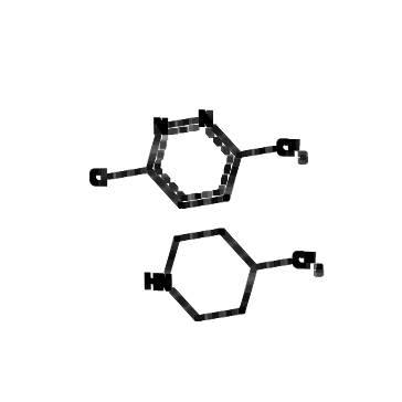 FC(F)(F)C1CCNCC1.FC(F)(F)c1ccc(Cl)nn1